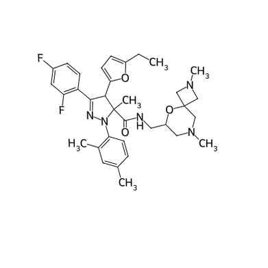 CCc1ccc(C2C(c3ccc(F)cc3F)=NN(c3ccc(C)cc3C)C2(C)C(=O)NCC2CN(C)CC3(CN(C)C3)O2)o1